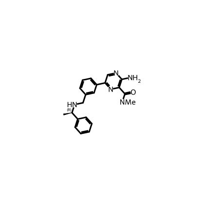 CNC(=O)c1nc(-c2cccc(CN[C@H](C)c3ccccc3)c2)cnc1N